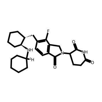 [2H]C1(N[C@H]2CCCC[C@@H]2Cc2ccc3c(c2F)CN(C2CCC(=O)NC2=O)C3=O)CCCCC1